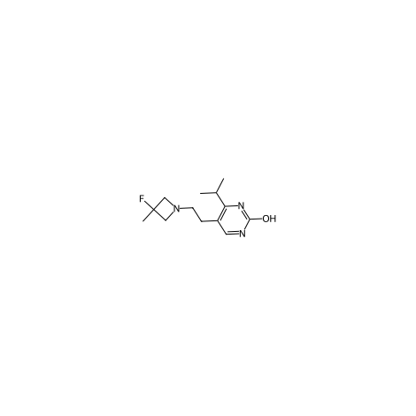 CC(C)c1nc(O)ncc1CCN1CC(C)(F)C1